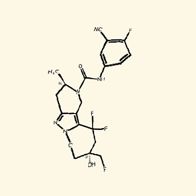 C[C@@H]1Cc2nn3c(c2CN1C(=O)Nc1ccc(F)c(C#N)c1)C(F)(F)C[C@@](O)(CF)CC3